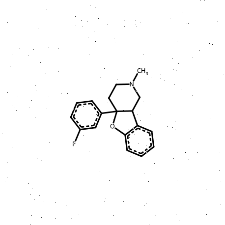 CN1CCC2(c3cccc(F)c3)Oc3ccccc3C2C1